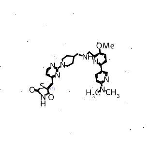 COc1ccc(-c2ccc(N(C)C)nc2)nc1CNCC1CCN(c2nccc(/C=C3\SC(=O)NC3=O)n2)CC1